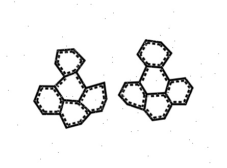 c1ccc2c(c1)c1cccc3ccc4cccc2c4c31.c1ccc2c(c1)c1cccc3ccc4cccc2c4c31